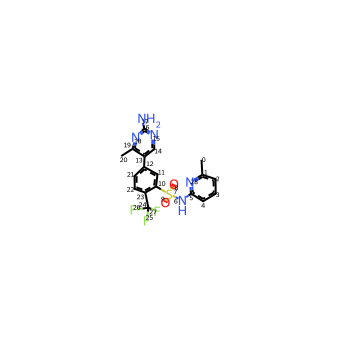 Cc1cccc(NS(=O)(=O)c2cc(-c3cnc(N)nc3C)ccc2C(F)(F)F)n1